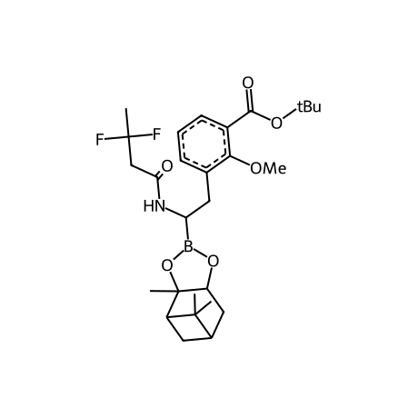 COc1c(CC(NC(=O)CC(C)(F)F)B2OC3CC4CC(C4(C)C)C3(C)O2)cccc1C(=O)OC(C)(C)C